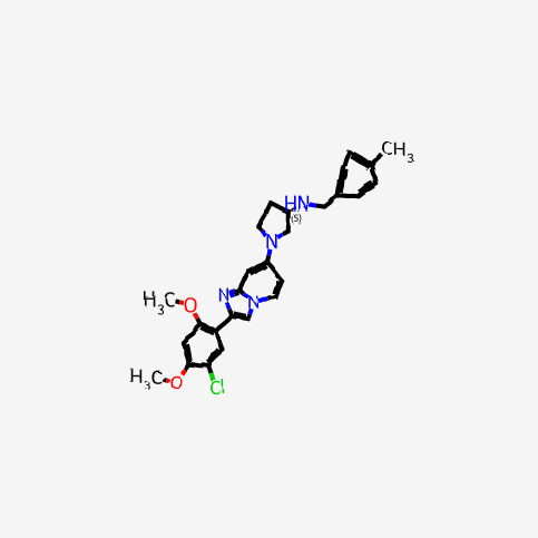 COc1cc(OC)c(-c2cn3ccc(N4CC[C@H](NCc5ccc(C)cc5)C4)cc3n2)cc1Cl